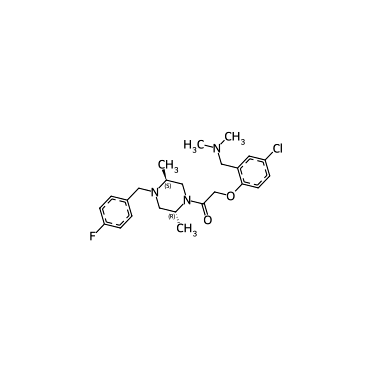 C[C@@H]1CN(Cc2ccc(F)cc2)[C@@H](C)CN1C(=O)COc1ccc(Cl)cc1CN(C)C